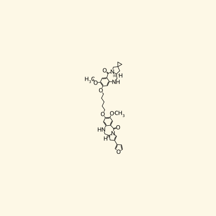 COc1cc2c(cc1OCCCCCOc1cc3c(cc1OC)C(=O)N1CC4(CC4)C[C@H]1CN3)NC[C@@H]1CC(c3ccoc3)=CN1C2=O